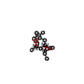 c1ccc(-c2ccc3c(c2)c2cc(-c4ccccc4)ccc2n3-c2ccc(-c3nc(-c4ccccc4)nc(-c4ccccc4)n3)cc2-c2cc(-c3ccccc3)nc(-c3cccc(-c4cc5c6c(c4)N(c4ccccc4)c4ccccc4B6c4ccccc4N5c4ccccc4)c3)n2)cc1